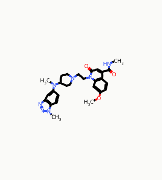 CNC(=O)c1cc(=O)n(CCN2CCC(N(C)c3ccc4c(c3)nnn4C)CC2)c2cc(OC)ccc12